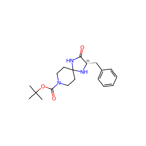 CC(C)(C)OC(=O)N1CCC2(CC1)NC(=O)[C@H](Cc1ccccc1)N2